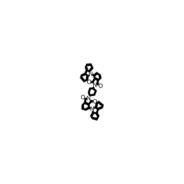 O=C1c2cccc(-n3c4ccccc4c4ccccc43)c2C(=O)N1C1CCC(N2C(=O)c3cccc(-n4c5ccccc5c5ccccc54)c3C2=O)CC1